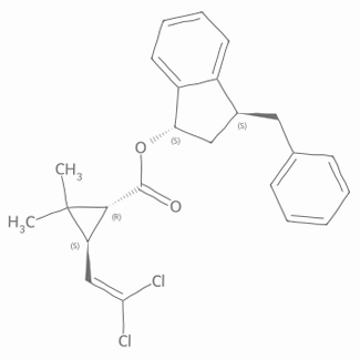 CC1(C)[C@H](C=C(Cl)Cl)[C@H]1C(=O)O[C@H]1C[C@H](Cc2ccccc2)c2ccccc21